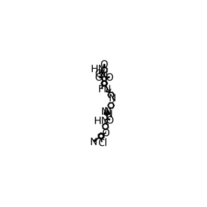 N#Cc1ccc(O[C@H]2CC[C@H](NC(=O)c3cnn([C@H]4CC[C@H](CN5CCC6(CC5)CN(c5cc7c(cc5F)C(=O)N(C5CCC(=O)NC5=O)C7=O)C6)CC4)n3)CC2)cc1Cl